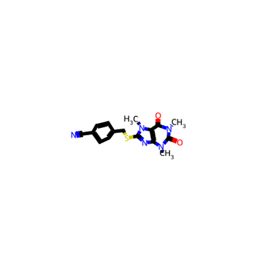 Cn1c(=O)c2c(nc(SCc3ccc(C#N)cc3)n2C)n(C)c1=O